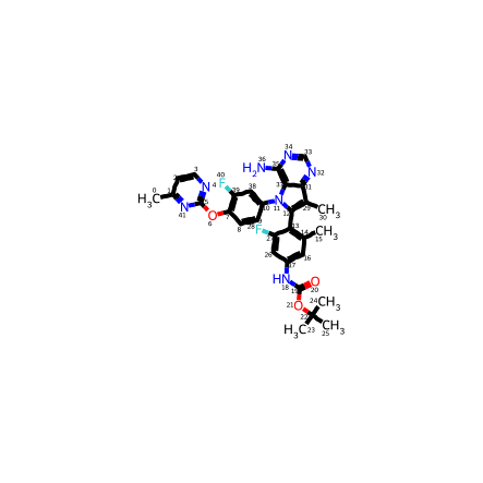 Cc1ccnc(Oc2ccc(-n3c(-c4c(C)cc(NC(=O)OC(C)(C)C)cc4F)c(C)c4ncnc(N)c43)cc2F)n1